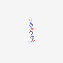 C[C@@H](CO)N1CCN(C(=O)OC2CCN(c3ccc(C(N)=O)cn3)CC2)CC1